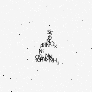 CC(C)N(CC1=C2OC(C)(C)O[C@H]2C(n2ccc3c(N)ncnc32)=C1)CC1CC(CC2NC3CC(C(C)(C)C)=CCC3N2COCC[Si](C)(C)C)C1